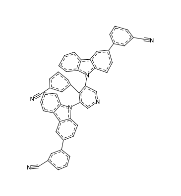 N#Cc1cccc(-c2ccc3c(c2)c2ccccc2n3-c2cncc(-n3c4ccccc4c4cc(-c5cccc(C#N)c5)ccc43)c2-c2cccc(C#N)c2)c1